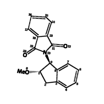 CO[C@H]1Cc2ccccc2[C@@H]1N1C(=O)c2ccccc2C1=O